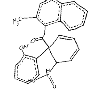 Cc1ccc2ccccc2c1C(=O)C1(c2ccccc2O)C=CC=CC1[PH](=O)O